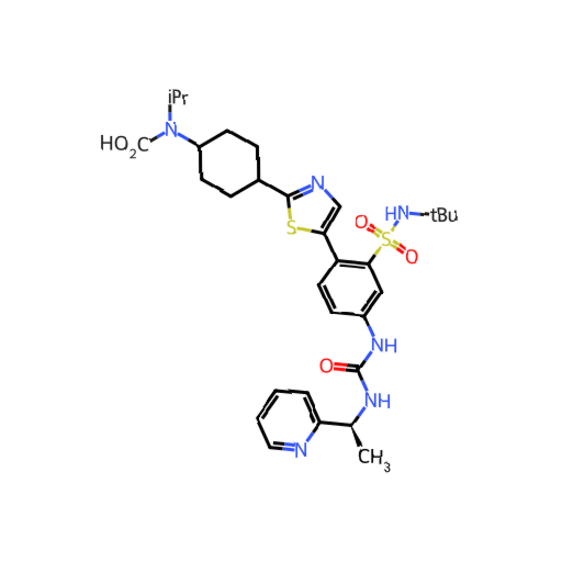 CC(C)N(C(=O)O)C1CCC(c2ncc(-c3ccc(NC(=O)N[C@@H](C)c4ccccn4)cc3S(=O)(=O)NC(C)(C)C)s2)CC1